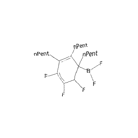 CCCCCC1=C(CCCCC)C(CCCCC)(B(F)F)C(F)C(F)=C1F